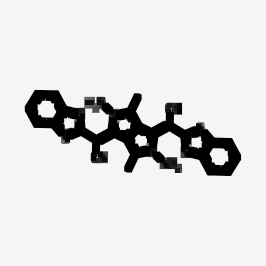 Bn1c(C)c2/c(=C(\C#N)c3nc4ccccc4s3)n(N)c(C)c2/c1=C(\C#N)c1nc2ccccc2s1